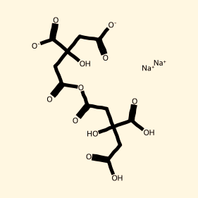 O=C([O-])CC(O)(CC(=O)OC(=O)CC(O)(CC(=O)O)C(=O)O)C(=O)[O-].[Na+].[Na+]